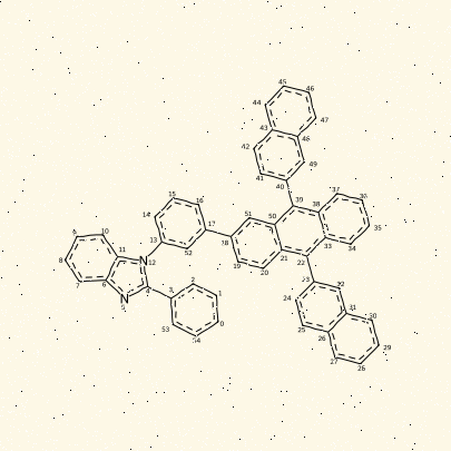 c1ccc(-c2nc3ccccc3n2-c2cccc(-c3ccc4c(-c5ccc6ccccc6c5)c5ccccc5c(-c5ccc6ccccc6c5)c4c3)c2)cc1